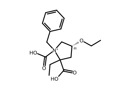 CCO[C@@H]1CC(CC)(C(=O)O)[N+](Cc2ccccc2)(C(=O)O)C1